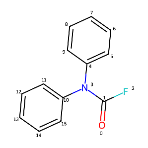 O=C(F)N(c1ccccc1)c1ccccc1